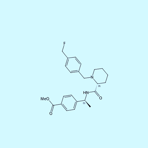 COC(=O)c1ccc([C@H](C)NC(=O)[C@H]2CCCCN2Cc2ccc(CF)cc2)cc1